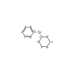 [c]1ccccc1SC1CCCCC1